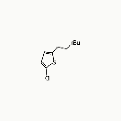 CCCCC[CH]c1ccc(Cl)s1